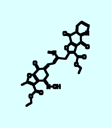 C=N/C(=C\C=C1/C/C(=N\O)c2c(oc(C)c2C(=O)OCC)C1=O)Cc1oc2c(c1C(=O)OCC)C(=O)c1ncccc1C2=O